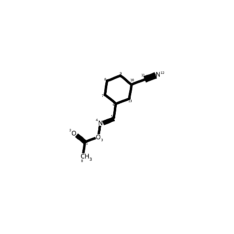 CC(=O)ON=CC1CCCC(C#N)C1